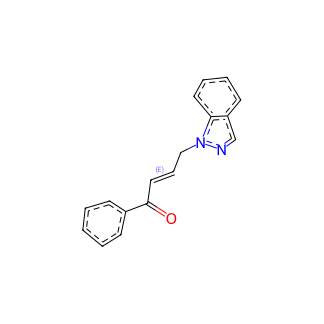 O=C(/C=C/Cn1ncc2ccccc21)c1ccccc1